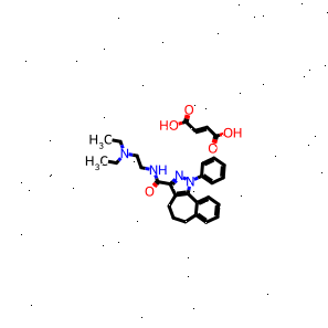 CCN(CC)CCNC(=O)c1nn(-c2ccccc2)c2c1CCCc1ccccc1-2.O=C(O)C=CC(=O)O